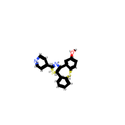 COc1ccc2c(c1)-c1nc(-c3ccncc3)sc1-c1ccccc1S2